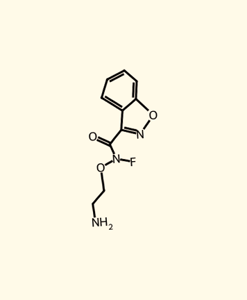 NCCON(F)C(=O)c1noc2ccccc12